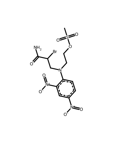 CS(=O)(=O)OCCN(CC(Br)C(N)=O)c1ccc([N+](=O)[O-])cc1[N+](=O)[O-]